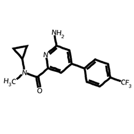 CN(C(=O)c1cc(-c2ccc(C(F)(F)F)cc2)cc(N)n1)C1CC1